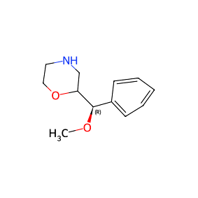 CO[C@H](c1ccccc1)C1CNCCO1